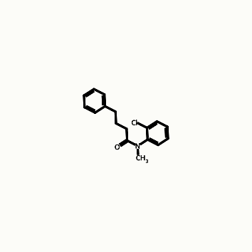 CN(C(=O)CCCc1ccccc1)c1ccccc1Cl